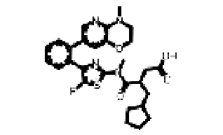 CN1CCOc2cc(-c3ccccc3-c3nc(N(C)C(=O)C(CC(=O)O)CC4CCCC4)sc3F)cnc21